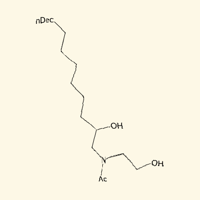 CCCCCCCCCCCCCCCCC(O)CN(CCO)C(C)=O